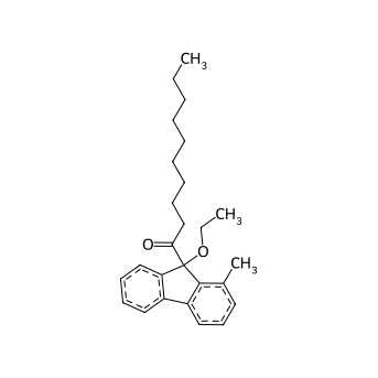 CCCCCCCCCC(=O)C1(OCC)c2ccccc2-c2cccc(C)c21